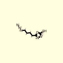 [N-]=[N+]=NCCCCc1nnc(S)o1